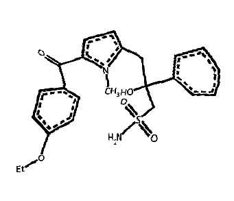 CCOc1ccc(C(=O)c2ccc(CC(O)(CS(N)(=O)=O)c3ccccc3)n2C)cc1